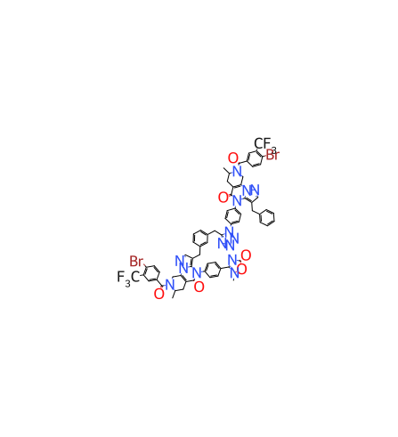 CC1Cc2c(n3ncc(Cc4ccccc4)c3n(-c3ccc(-n4nnnc4Cc4cccc(Cc5cnn6c7c(c(=O)n(-c8ccc(-c9nc(=O)on9C)cc8)c56)CC(C)N(C(=O)c5ccc(Br)c(C(F)(F)F)c5)C7)c4)cc3)c2=O)CN1C(=O)c1ccc(Br)c(C(F)(F)F)c1